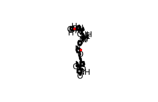 Cn1c(=O)n(C2CCC(=O)NC2=O)c2cccc(C#CCOC3CCN(C[C@H]4CC[C@H](n5cc(NC(=O)c6ccn7ccc(N8C[C@H]9C[C@@H]8CO9)nc67)c(C(F)F)n5)CC4)CC3)c21